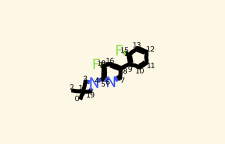 CC1(C)CN(c2ncc(-c3ccc[c]c3F)cc2F)C1